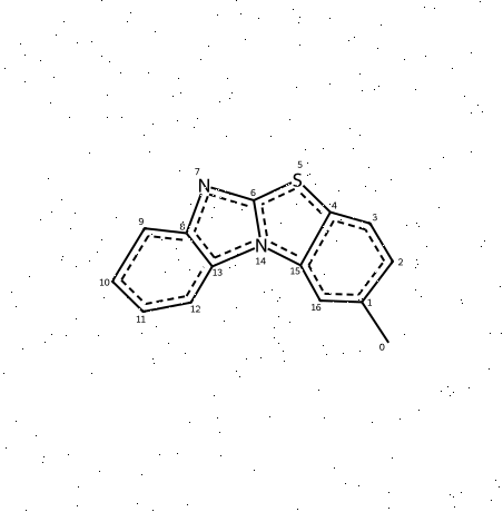 Cc1ccc2sc3nc4ccccc4n3c2c1